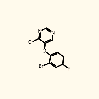 FC1C=C(Br)C(Oc2cncnc2Cl)=CC1